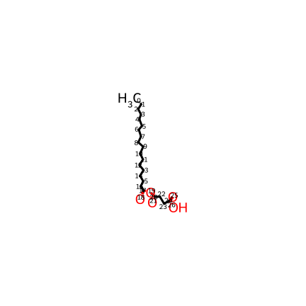 CCCCCCCCCCCCCCCCCC(=O)OC(=O)CCC(=O)O